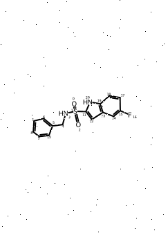 O=S(=O)(NCc1ccccc1)c1cc2cc(F)ccc2[nH]1